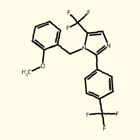 COc1ccccc1Cn1c(C(F)(F)F)cnc1-c1ccc(C(F)(F)F)cc1